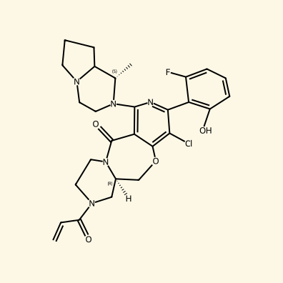 C=CC(=O)N1CCN2C(=O)c3c(N4CCN5CCCC5[C@@H]4C)nc(-c4c(O)cccc4F)c(Cl)c3OC[C@H]2C1